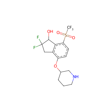 O=S(=O)(c1ccc(OC2CCCNC2)c2c1C(O)C(F)(F)C2)C(F)(F)F